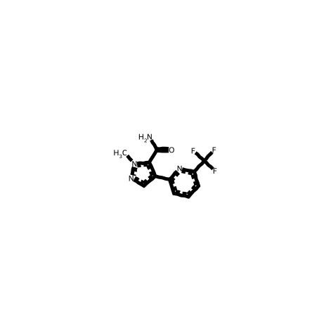 Cn1ncc(-c2cccc(C(F)(F)F)n2)c1C(N)=O